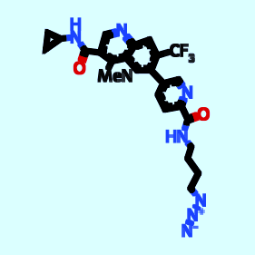 CNc1c(C(=O)NC2CC2)cnc2cc(C(F)(F)F)c(-c3ccc(C(=O)NCCCCN=[N+]=[N-])nc3)cc12